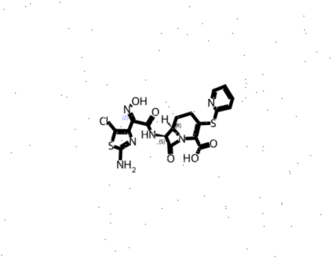 Nc1nc(/C(=N/O)C(=O)N[C@@H]2C(=O)N3C(C(=O)O)=C(Sc4ccccn4)CC[C@H]23)c(Cl)s1